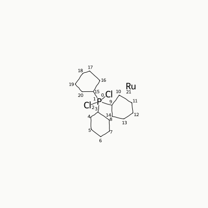 ClP(Cl)(C1CCCCC1)(C1CCCCC1)C1CCCCC1.[Ru]